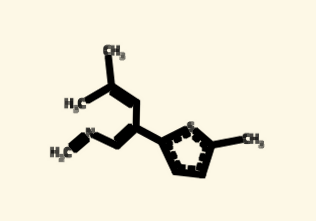 C=N/C=C(\C=C(C)C)c1ccc(C)s1